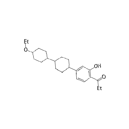 CCOC1CCC(C2CCC(c3ccc(C(=O)CC)c(O)c3)CC2)CC1